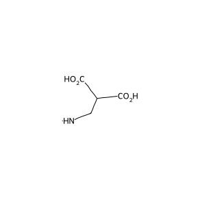 [NH]CC(C(=O)O)C(=O)O